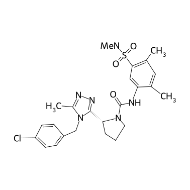 CNS(=O)(=O)c1cc(NC(=O)N2CCC[C@@H]2c2nnc(C)n2Cc2ccc(Cl)cc2)c(C)cc1C